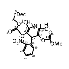 CCCCCCCCCCCOC(=O)OC1=C(C)NC(C)=C(OC(=O)OC)C1c1ccccc1[N+](=O)[O-]